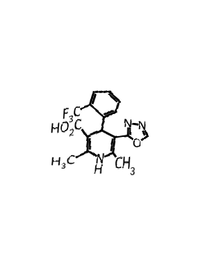 CC1=C(C(=O)O)C(c2ccccc2C(F)(F)F)C(c2nnco2)=C(C)N1